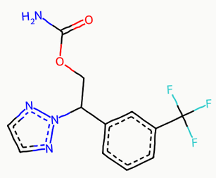 NC(=O)OCC(c1cccc(C(F)(F)F)c1)n1nccn1